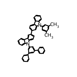 Cc1cc(C)cc(-n2c3ccccc3c3ccc(-c4ccc5c(c4)c4ccccc4n5-c4cc(-c5ccccc5)cc(-c5ccccc5)c4)cc32)c1